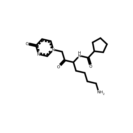 NCCCCC(NC(=O)C1CCCC1)C(=O)Cn1ccc(=O)nc1